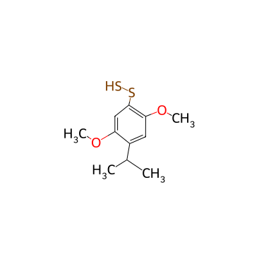 COc1cc(C(C)C)c(OC)cc1SS